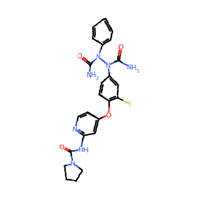 NC(=O)N(c1ccccc1)N(C(N)=O)c1ccc(Oc2ccnc(NC(=O)N3CCCC3)c2)c(F)c1